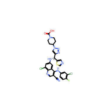 N#Cc1cnc2c(Cl)cc(N[C@H](c3cn(C4CCN(C(=O)O)CC4)nn3)c3cncs3)cc2c1Nc1ccc(F)c(Cl)c1